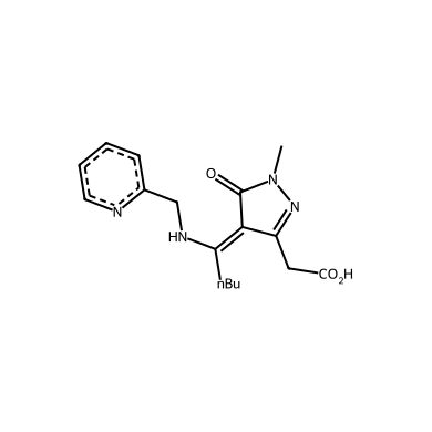 CCCCC(NCc1ccccn1)=C1C(=O)N(C)N=C1CC(=O)O